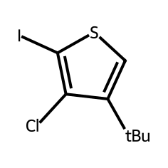 CC(C)(C)c1csc(I)c1Cl